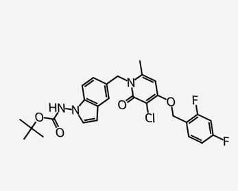 Cc1cc(OCc2ccc(F)cc2F)c(Cl)c(=O)n1Cc1ccc2c(ccn2NC(=O)OC(C)(C)C)c1